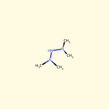 CN(C)NN(C)C